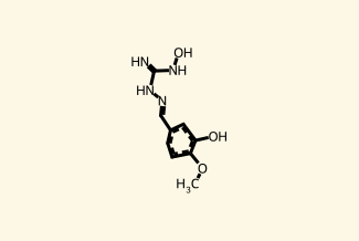 COc1ccc(C=NNC(=N)NO)cc1O